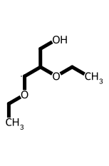 CCO[CH]C(CO)OCC